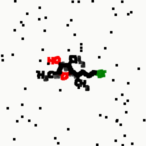 C[C@H]1[C@@H](O)[C@H](C)O[C@@H]1[C@@H](C)CCCBr